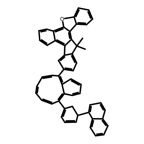 CC1(C)c2ccc(-c3ccccccc(C4=CC=CC(c5cccc6ccccc56)C4)c4ccccc34)cc2-c2c1c1c3ccccc3oc1c1ccccc21